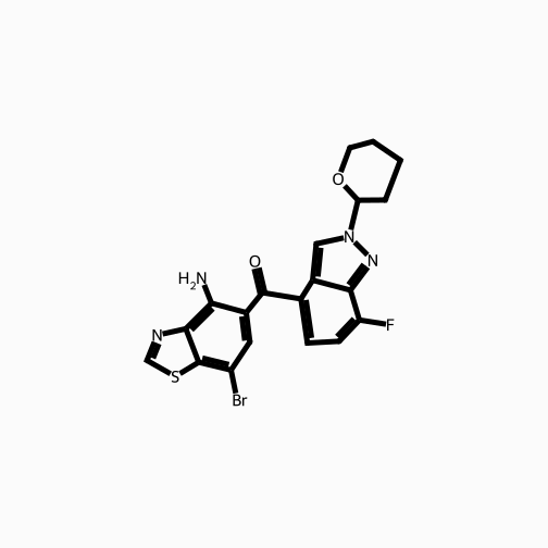 Nc1c(C(=O)c2ccc(F)c3nn(C4CCCCO4)cc23)cc(Br)c2scnc12